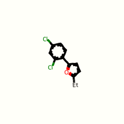 CCc1ccc(-c2ccc(Cl)cc2Cl)o1